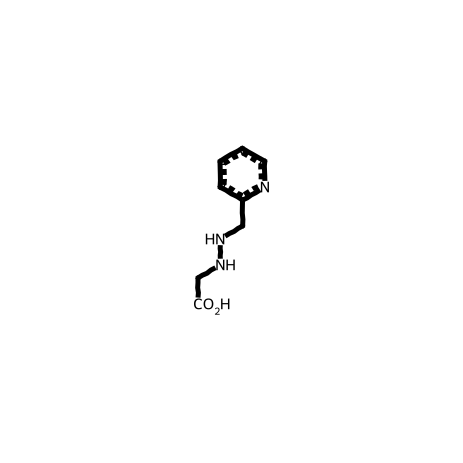 O=C(O)CNNCc1ccccn1